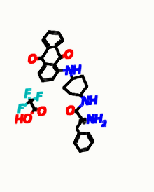 N[C@H](Cc1ccccc1)C(=O)NC1CCC(Nc2cccc3c2C(=O)c2ccccc2C3=O)CC1.O=C(O)C(F)(F)F